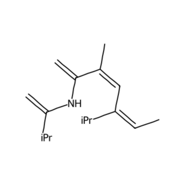 C=C(NC(=C)C(C)C)/C(C)=C\C(=C/C)C(C)C